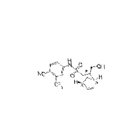 N#Cc1ccc(NS(=O)(=O)C2[C@@H](CO)[C@H]3C=C[C@H]2C3)cc1C(F)(F)F